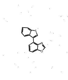 [c]1nc2c(-c3csc4ccccc34)cccc2o1